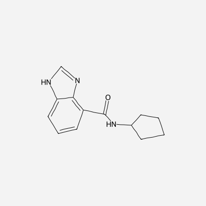 O=C(NC1CCCC1)c1cccc2[nH]cnc12